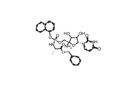 C[C@H](NP(=O)(OC[C@@]1(N)O[C@@H](n2ccc(=O)[nH]c2=O)[C@H](O)[C@@H]1O)Oc1cccc2ccccc12)C(=O)OCc1ccccc1